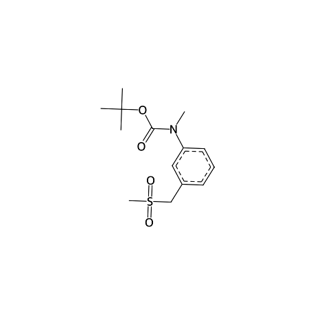 CN(C(=O)OC(C)(C)C)c1cccc(CS(C)(=O)=O)c1